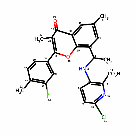 Cc1cc(C(C)Nc2ccc(Cl)nc2C(=O)O)c2oc(-c3ccc(C)c(F)c3)c(C)c(=O)c2c1